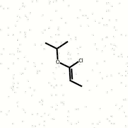 CC=C(Cl)OC(C)C